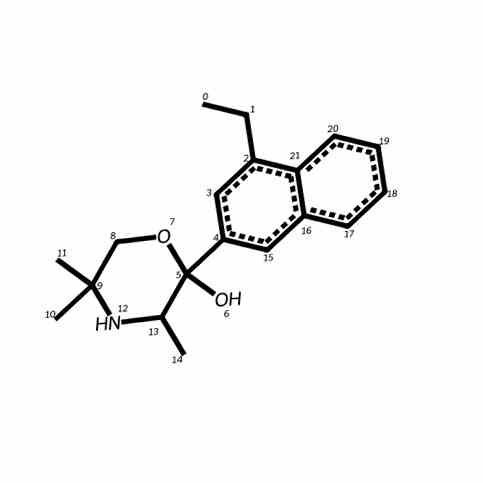 CCc1cc(C2(O)OCC(C)(C)NC2C)cc2ccccc12